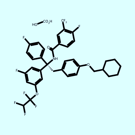 O=C(N[C@](Cc1ccc(OCC2CCCCC2)cc1)(c1ccc(F)cc1)c1cc(F)cc(OC(F)(F)C(F)F)c1)c1ccc(F)c(C(F)(F)F)c1.O=C(O)O